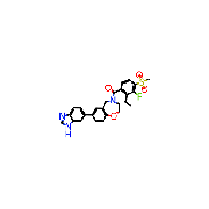 CCc1c(C(=O)N2CCOc3ccc(-c4ccc5nc[nH]c5c4)cc3C2)ccc(S(C)(=O)=O)c1F